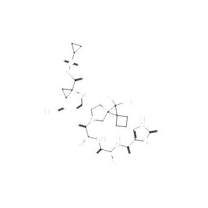 C=C[C@@H]1C[C@]1(NC(=O)[C@@H]1C[C@@]2(CN1C(=O)[C@@H](NC(=O)[C@@H](NC(=O)c1c[nH]c(=O)[nH]1)C(C)(C)C)C(C)(C)C)C(C)(C)C21CCC1)C(=O)NS(=O)(=O)C1CC1